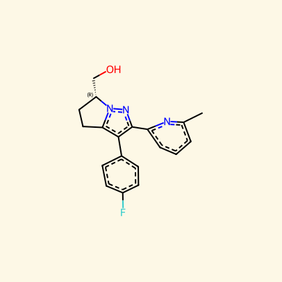 Cc1cccc(-c2nn3c(c2-c2ccc(F)cc2)CC[C@@H]3CO)n1